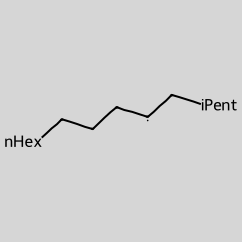 CCCCCCCCC[CH]CC(C)CCC